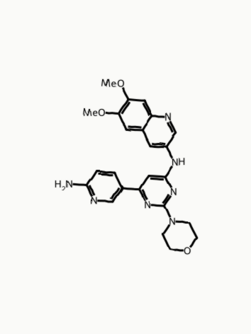 COc1cc2cc(Nc3cc(-c4ccc(N)nc4)nc(N4CCOCC4)n3)cnc2cc1OC